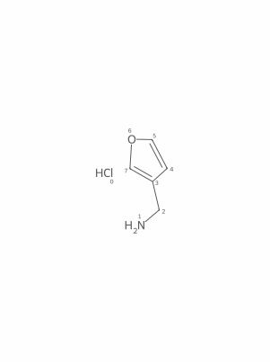 Cl.NCc1ccoc1